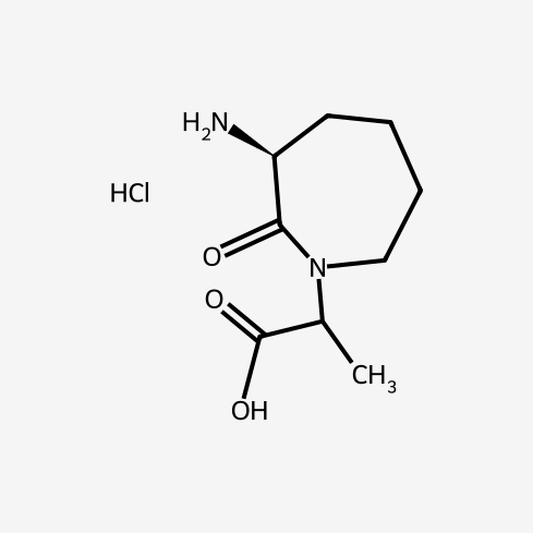 CC(C(=O)O)N1CCCC[C@H](N)C1=O.Cl